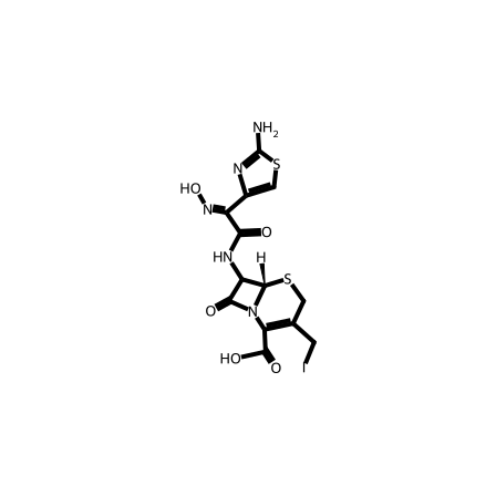 Nc1nc(C(=NO)C(=O)NC2C(=O)N3C(C(=O)O)=C(CI)CS[C@@H]23)cs1